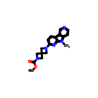 Cn1c2ccncc2c2ccc(N3CC4(CN(C(=O)OC(C)(C)C)C4)C3)nc21